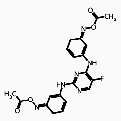 CC(=O)ON=C1C=C(Nc2ncc(F)c(NC3=CC(=NOC(C)=O)CC=C3)n2)C=CC1